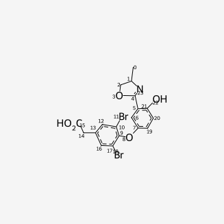 CC1COC(c2cc(Oc3c(Br)cc(CC(=O)O)cc3Br)ccc2O)=N1